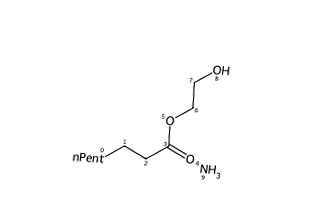 CCCCCCCC(=O)OCCO.N